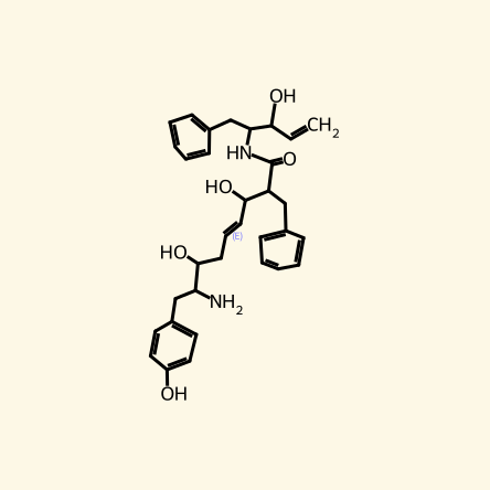 C=CC(O)C(Cc1ccccc1)NC(=O)C(Cc1ccccc1)C(O)/C=C/CC(O)C(N)Cc1ccc(O)cc1